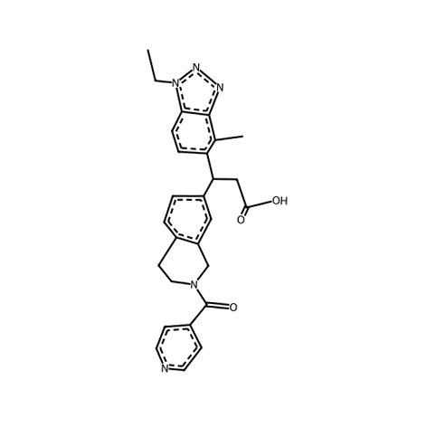 CCn1nnc2c(C)c(C(CC(=O)O)c3ccc4c(c3)CN(C(=O)c3ccncc3)CC4)ccc21